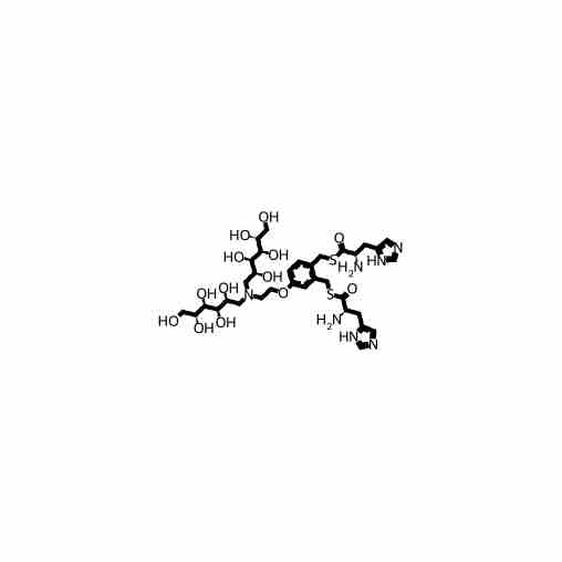 N[C@@H](Cc1cnc[nH]1)C(=O)SCc1ccc(OCCN(C[C@H](O)[C@@H](O)[C@H](O)[C@H](O)CO)C[C@H](O)[C@@H](O)[C@H](O)[C@H](O)CO)cc1CSC(=O)[C@@H](N)Cc1cnc[nH]1